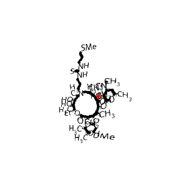 CC[C@H]1OC(=O)[C@H](C)[C@@H](O[C@@H](CCOC)O[C@@H](C)[C@@H](C)O)[C@H](C)[C@@H](O[C@@H]2O[C@H](C)C[C@H](N(C)C)[C@H]2O)[C@](C)(O)C[C@@H](C)CN(CCCNC(=S)NCCCSC)[C@H](C)[C@@H](O)[C@]1(C)O